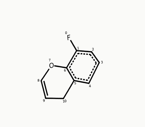 Fc1cccc2c1OC=CC2